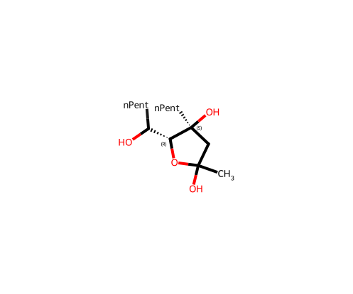 CCCCCC(O)[C@H]1OC(C)(O)C[C@@]1(O)CCCCC